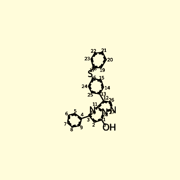 Oc1cc(-c2ccccc2)nc2c(-c3ccc(Sc4ccccc4)cc3)cnn12